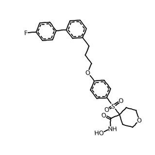 O=C(NO)C1(S(=O)(=O)c2ccc(OCCCc3cccc(-c4ccc(F)cc4)c3)cc2)CCOCC1